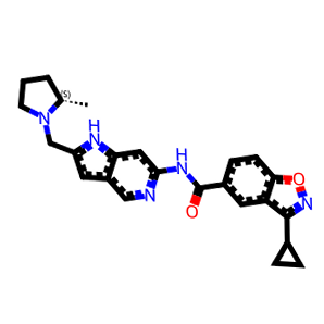 C[C@H]1CCCN1Cc1cc2cnc(NC(=O)c3ccc4onc(C5CC5)c4c3)cc2[nH]1